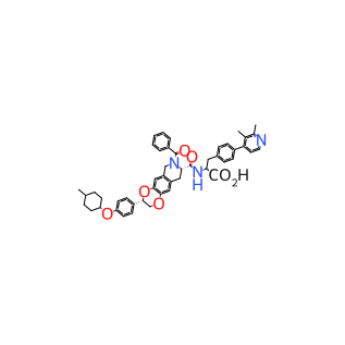 Cc1nccc(-c2ccc(C[C@H](NC(=O)[C@@H]3Cc4cc5c(cc4CN3C(=O)c3ccccc3)O[C@@H](c3ccc(OC4CCC(C)CC4)cc3)CO5)C(=O)O)cc2)c1C